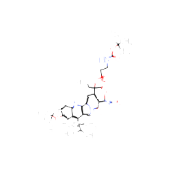 CCC1(OC(=O)CCNC(=O)OC(C)(C)C)C(=O)OC(N=C=O)c2c1cc1n(c2=O)Cc2c-1nc1ccc(OC(C)(C)C)cc1c2[Si](C)(C)C(C)C